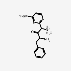 CCCCCc1ccnc(C(N)C(=O)C(N)Cc2ccccc2)n1.O